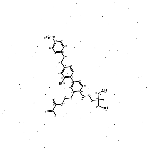 C=C(C)C(=O)OCCc1cc(-c2ccc(CCc3ccc(CCCCC)cc3)cc2CC)ccc1OCCC(C)(CO)CO